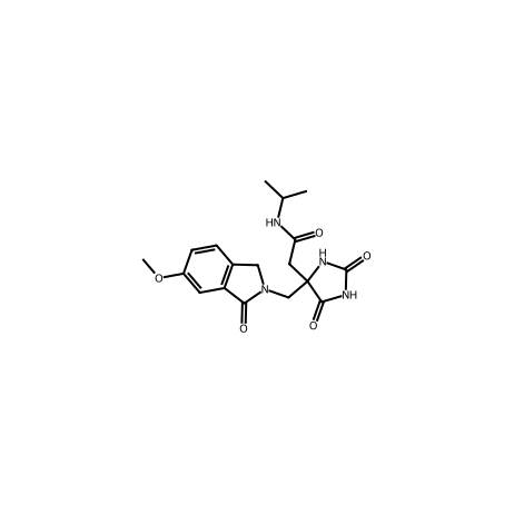 COc1ccc2c(c1)C(=O)N(CC1(CC(=O)NC(C)C)NC(=O)NC1=O)C2